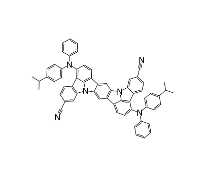 CC(C)c1ccc(N(c2ccccc2)c2ccc3c4cc5c(cc4n4c6cc(C#N)ccc6c2c34)c2ccc(N(c3ccccc3)c3ccc(C(C)C)cc3)c3c4ccc(C#N)cc4n5c23)cc1